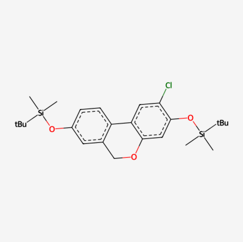 CC(C)(C)[Si](C)(C)Oc1ccc2c(c1)COc1cc(O[Si](C)(C)C(C)(C)C)c(Cl)cc1-2